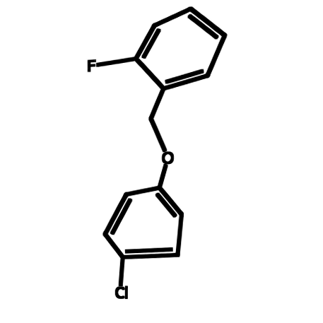 Fc1ccccc1COc1ccc(Cl)cc1